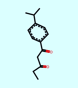 CCC(=O)CC(=O)c1ccc(C(C)C)cc1